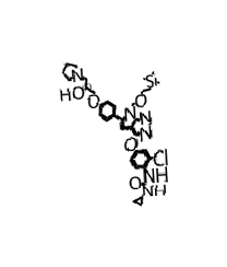 C[Si](C)(C)CCOCn1c(-c2ccc(OC[C@@H](O)CN3CCCC3)cc2)cc2c(Oc3ccc(NC(=O)NC4CC4)c(Cl)c3)ncnc21